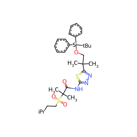 CC(C)CCS(=O)(=O)C(C)(C)C(=O)Nc1nnc(C(C)(C)CO[Si](c2ccccc2)(c2ccccc2)C(C)(C)C)s1